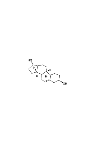 C[C@]12CC[C@H]3[C@@H](CC=C4C[C@H](O)CC[C@@H]43)[C@@H]1CC[C@H]2O